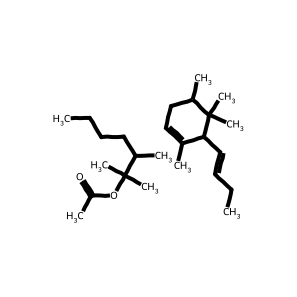 CC/C=C/C1C(C)=CCC(C)C1(C)C.CCCCC(C)C(C)(C)OC(C)=O